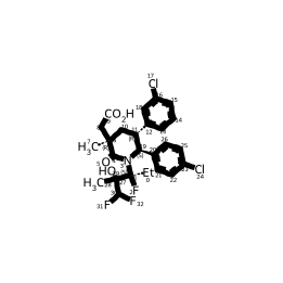 CC[C@@](F)(N1C(=O)[C@@](C)(CC(=O)O)C[C@H](c2cccc(Cl)c2)[C@H]1c1ccc(Cl)cc1)C(C)(O)C(F)F